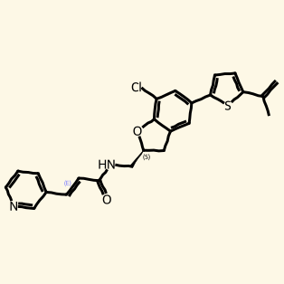 C=C(C)c1ccc(-c2cc(Cl)c3c(c2)C[C@@H](CNC(=O)/C=C/c2cccnc2)O3)s1